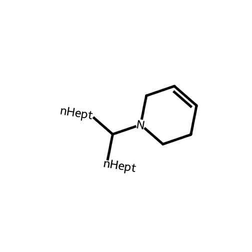 CCCCCCCC(CCCCCCC)N1CC=CCC1